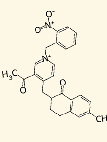 CC(=O)c1c[n+](Cc2ccccc2[N+](=O)[O-])ccc1CC1CCc2cc(C)ccc2C1=O